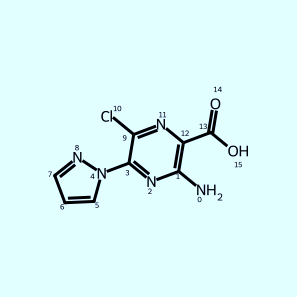 Nc1nc(-n2cccn2)c(Cl)nc1C(=O)O